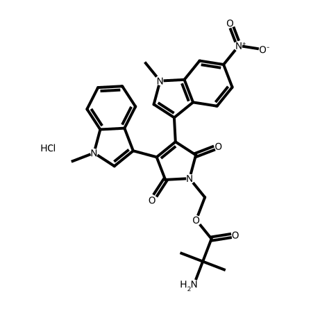 Cl.Cn1cc(C2=C(c3cn(C)c4cc([N+](=O)[O-])ccc34)C(=O)N(COC(=O)C(C)(C)N)C2=O)c2ccccc21